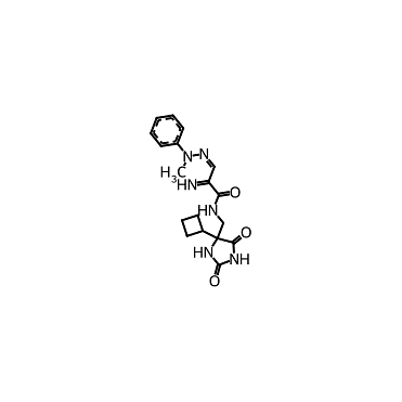 CN(/N=C\C(=N)C(=O)NCC1(C2CCC2)NC(=O)NC1=O)c1ccccc1